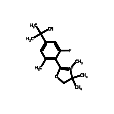 Cc1cc(C(C)(C)C#N)cc(F)c1C1=[N+](C)C(C)(C)CO1